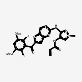 C=CC(=O)Nc1cn(C)nc1Nc1ncc2sc(C(=O)c3c(Cl)c(OC)cc(OC)c3Cl)cc2n1